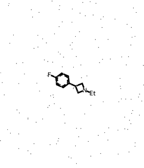 CCN1CC(c2ccc(F)cc2)C1